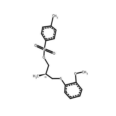 COc1ccccc1SC[C@@H](C)COS(=O)(=O)c1ccc(C)cc1